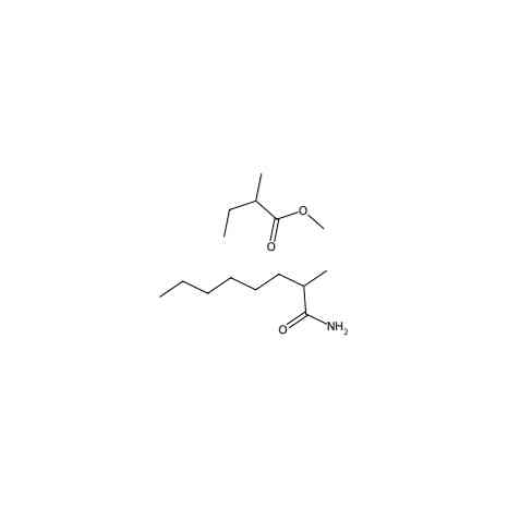 CCC(C)C(=O)OC.CCCCCCC(C)C(N)=O